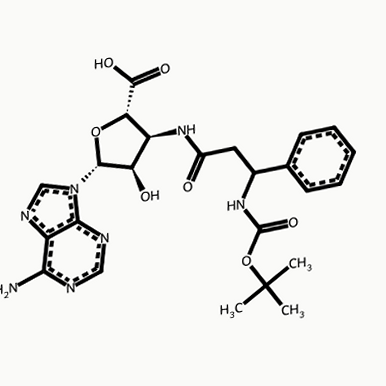 CC(C)(C)OC(=O)NC(CC(=O)N[C@H]1[C@@H](O)[C@H](n2cnc3c(N)ncnc32)O[C@@H]1C(=O)O)c1ccccc1